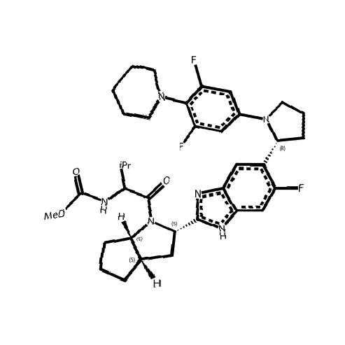 COC(=O)NC(C(=O)N1[C@H](c2nc3cc([C@H]4CCCN4c4cc(F)c(N5CCCCC5)c(F)c4)c(F)cc3[nH]2)C[C@@H]2CCC[C@@H]21)C(C)C